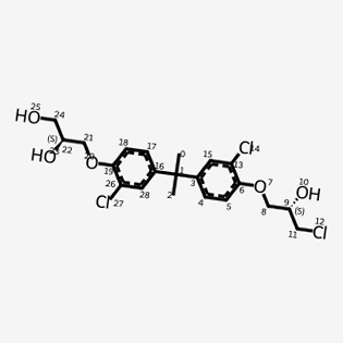 CC(C)(c1ccc(OC[C@H](O)CCl)c(Cl)c1)c1ccc(OC[C@@H](O)CO)c(Cl)c1